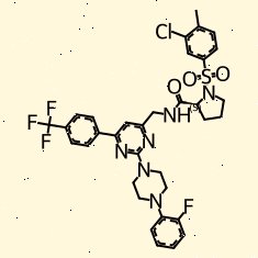 Cc1ccc(S(=O)(=O)N2CCC[C@H]2C(=O)NCc2cc(-c3ccc(C(F)(F)F)cc3)nc(N3CCN(c4ccccc4F)CC3)n2)cc1Cl